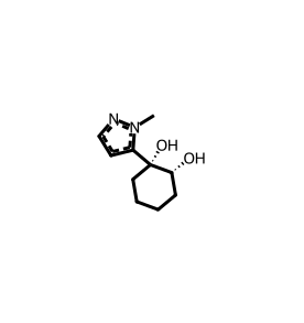 Cn1nccc1[C@]1(O)CCCC[C@H]1O